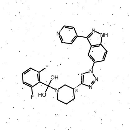 OC(O)(c1c(F)cccc1F)N1CCC[C@@H](c2cn(-c3ccc4[nH]nc(-c5ccncc5)c4c3)nn2)C1